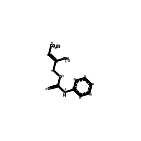 CCOC(=O)C=C(N)COC(=O)Nc1ccccc1